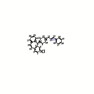 Clc1ccc2c(c1)C(N1CCN(C/C=C/c3ccccc3)CC1)c1ccccc1C=C2